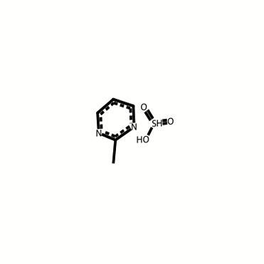 Cc1ncccn1.O=[SH](=O)O